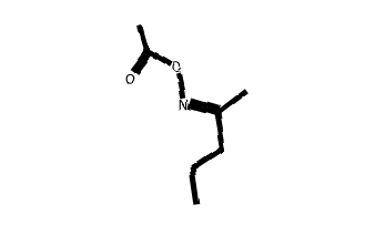 CCCC(C)=NOC(C)=O